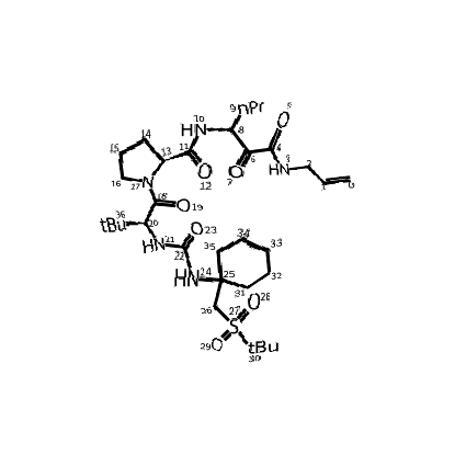 C=CCNC(=O)C(=O)C(CCC)NC(=O)[C@@H]1CCCN1C(=O)[C@@H](NC(=O)NC1(CS(=O)(=O)C(C)(C)C)CCCCC1)C(C)(C)C